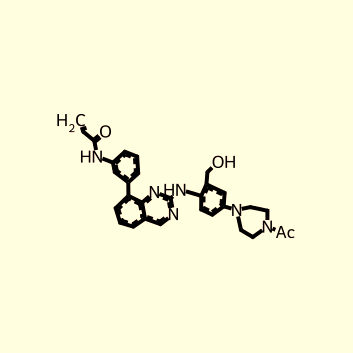 C=CC(=O)Nc1cccc(-c2cccc3cnc(Nc4ccc(N5CCN(C(C)=O)CC5)cc4CO)nc23)c1